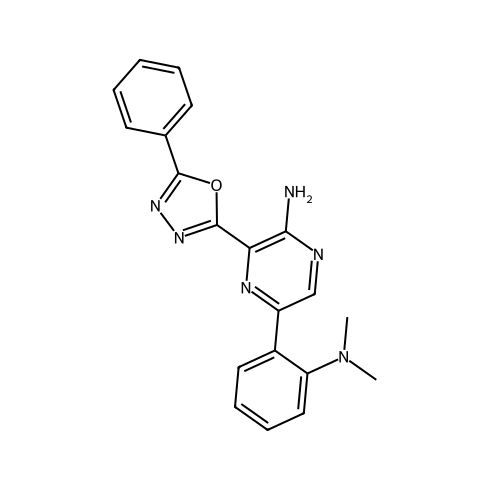 CN(C)c1ccccc1-c1cnc(N)c(-c2nnc(-c3ccccc3)o2)n1